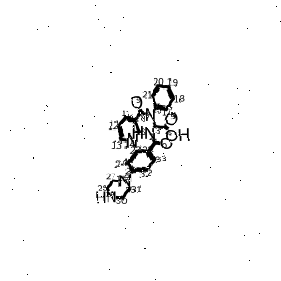 O=C(NC(C(=O)O)N(C(=O)c1cccnc1)c1ccccc1)c1ccc(N2CCNCC2)cc1